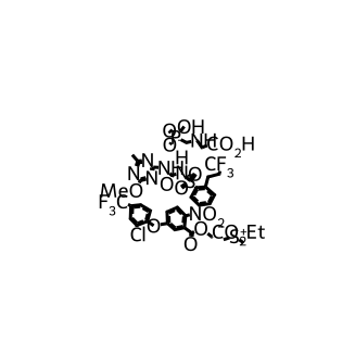 CCOC(=O)COC(=O)c1cc(Oc2ccc(C(F)(F)F)cc2Cl)ccc1[N+](=O)[O-].COc1nc(C)nc(NC(=O)NS(=O)(=O)c2ccccc2CCC(F)(F)F)n1.C[S+](C)C.O=C(O)CNCP(=O)([O-])O